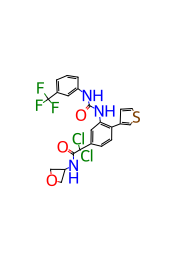 O=C(Nc1cccc(C(F)(F)F)c1)Nc1cc(C(Cl)(Cl)C(=O)NC2COC2)ccc1-c1ccsc1